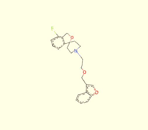 Fc1cccc2c1COC21CCN(CCOCc2coc3ccccc23)CC1